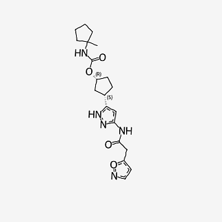 CC1(NC(=O)O[C@@H]2CC[C@H](c3cc(NC(=O)Cc4ccno4)n[nH]3)C2)CCCC1